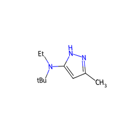 CCN(c1cc(C)n[nH]1)C(C)(C)C